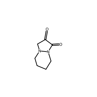 O=C1CN2CCCCN2C1=O